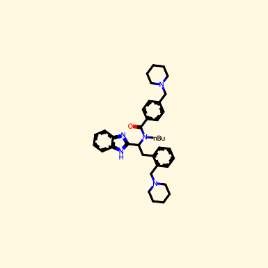 CCCCN(C(=O)c1ccc(CN2CCCCC2)cc1)C(Cc1ccccc1CN1CCCCC1)c1nc2ccccc2[nH]1